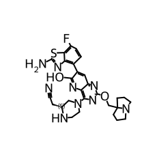 N#CC[C@H]1CN(c2nc(OCC34CCCN3CCC4)nc3cc(-c4ccc(F)c5sc(N)nc45)c(O)nc23)CCN1